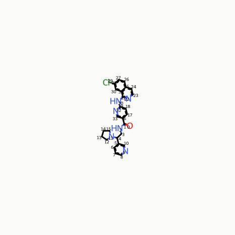 O=C(NCC(c1cccnc1)N1CCCC1)c1ccc(Nc2nccc3ccc(Cl)cc23)nc1